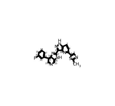 Cc1ncc(-c2ccc3[nH]nc(-c4nc5c(-c6cccc(F)c6)cncc5[nH]4)c3n2)s1